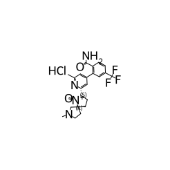 Cc1cc(-c2cc(C(F)(F)F)ccc2C(N)=O)cc([C@@H]2CC[C@]3(CCN(C)C3)[N+]2=O)n1.Cl